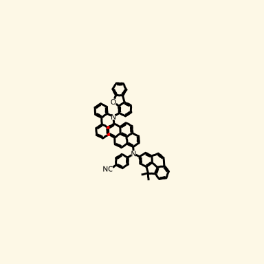 CC1(C)c2cccc3ccc4cc(N(c5ccc(C#N)cc5)c5ccc6ccc7c(N(c8ccccc8-c8ccccc8)c8cccc9c8oc8ccccc89)ccc8ccc5c6c87)cc1c4c23